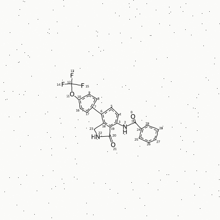 O=C(Nc1ccc(-c2ccc(OC(F)(F)F)cc2)c2c1C(=O)NC2)c1ccccc1